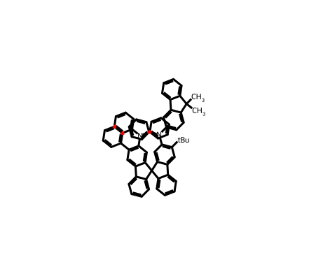 CC(C)(C)c1cc2c(cc1N(c1ccccc1)c1ccc3c(c1)-c1ccccc1C3(C)C)C1(c3ccccc3-c3cc(-c4ccccc4)c(N(c4ccccc4)c4ccccc4)cc31)c1ccccc1-2